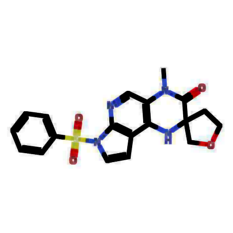 CN1C(=O)C2(CCOC2)Nc2c1cnc1c2ccn1S(=O)(=O)c1ccccc1